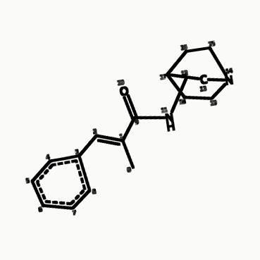 C/C(=C\c1ccccc1)C(=O)NC1CN2CCC1CC2